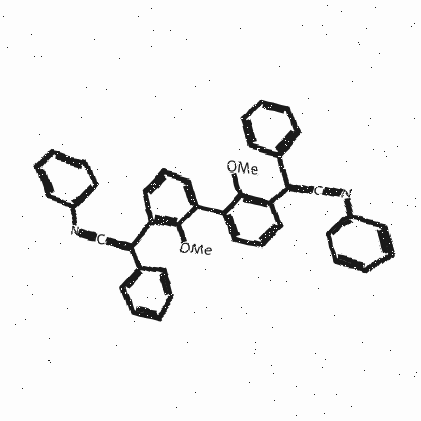 COc1c(C(=C=Nc2ccccc2)c2ccccc2)cccc1-c1cccc(C(=C=Nc2ccccc2)c2ccccc2)c1OC